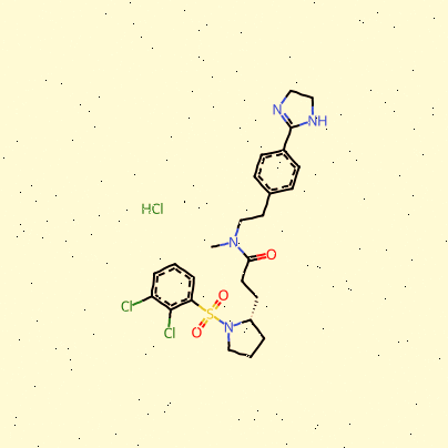 CN(CCc1ccc(C2=NCCN2)cc1)C(=O)CC[C@@H]1CCCN1S(=O)(=O)c1cccc(Cl)c1Cl.Cl